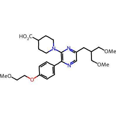 COCCOc1ccc(-c2ncc(CC(COC)COC)nc2N2CCC(C(=O)O)CC2)cc1